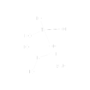 OB(O)O.[BaH2].[OH][Ti]([OH])([OH])[OH]